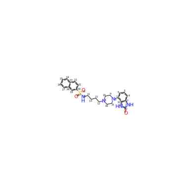 O=c1[nH]c2cccc(N3CCN(CCCCNS(=O)(=O)c4ccc5ccccc5c4)CC3)c2[nH]1